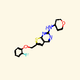 Fc1ccccc1OCc1cc2cnc(NC3CCOCC3)nc2s1